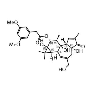 COc1cc(CC(=O)O[C@@H]2[C@@H](C)[C@@]3(O)[C@@H](C=C(CO)C[C@]4(O)C(=O)C(C)=C[C@@H]34)[C@H]3C(C)(C)[C@]23O)cc(OC)c1